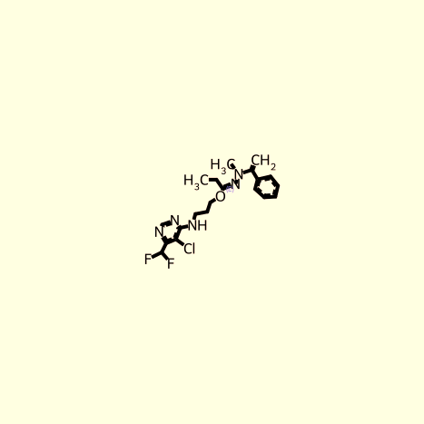 C=C(c1ccccc1)N(C)/N=C(\CC)OCCCNc1ncnc(C(F)F)c1Cl